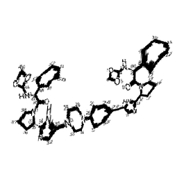 O=C([C@H](NC1OCO1)c1ccccc1)N1CCCC1c1ncc(-c2ccc(N3CCN(c4cnc([C@@H]5CCCN5C(=O)[C@H](NC5OCO5)c5ccccc5)[nH]4)CC3)cc2)[nH]1